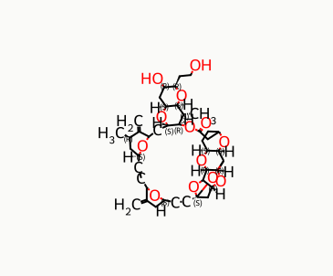 C=C1C[C@@H]2CC[C@@]34C[C@H]5O[C@H]6C(O3)[C@H]3OC(CC[C@@H]3O[C@H]6C5O4)CC(=O)O[C@@H]3[C@@H](C)[C@@H]4O[C@H](CCO)[C@H](O)C[C@@H]4O[C@H]3CC3O[C@@H](CCC1O2)C[C@@H](C)C3=C